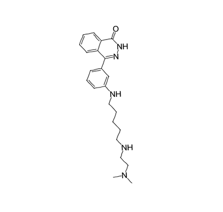 CN(C)CCNCCCCCNc1cccc(-c2n[nH]c(=O)c3ccccc23)c1